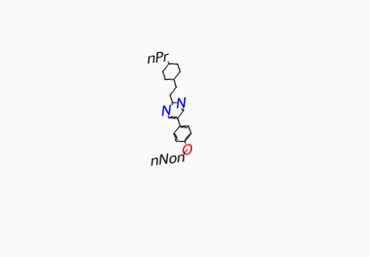 CCCCCCCCCOc1ccc(-c2cnc(CCC3CCC(CCC)CC3)nc2)cc1